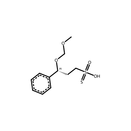 COCO[C@H](CCS(=O)(O)=S)c1ccccc1